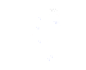 CNC1(C(N)=O)CCN(c2ccccc2NC(=O)c2csc(-c3ccnnc3)n2)CC1